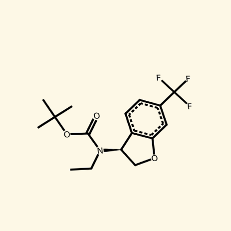 CCN(C(=O)OC(C)(C)C)[C@@H]1COc2cc(C(F)(F)F)ccc21